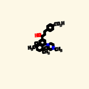 CN1CCN(c2cc(C(O)C=Cc3ccc(C(=O)O)cc3)cc3c2C(C)(C)CCC3(C)C)CC1